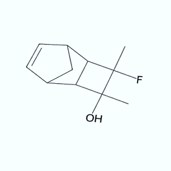 CC1(O)C2C3C=CC(C3)C2C1(C)F